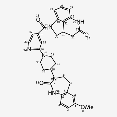 COc1ccc2c(c1)CCN(C1CCN(c3cc(C(=O)N4CC5CC(=O)Nc6cccc4c65)ccn3)CC1)C(=O)N2